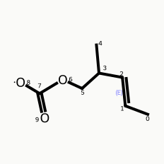 C/C=C/C(C)COC([O])=O